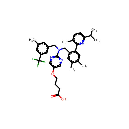 Cc1cc(CN(Cc2cc(C)c(C)cc2-c2nc(C(C)C)ccc2C)c2ncc(OCCCC(=O)O)cn2)cc(C(F)(F)F)c1